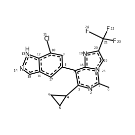 Cc1nc(C2CC2)c(-c2cc(Cl)c3[nH]ncc3c2)c2nc(C(F)(F)F)cn12